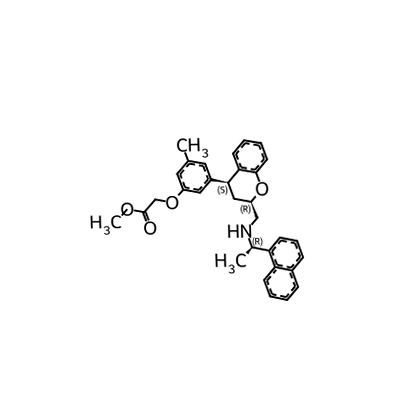 COC(=O)COc1cc(C)cc([C@@H]2C[C@H](CN[C@H](C)c3cccc4ccccc34)Oc3ccccc32)c1